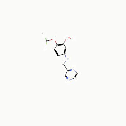 CCOc1cc(NCc2cnccn2)ccc1OC(F)F